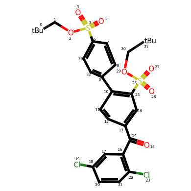 CC(C)(C)COS(=O)(=O)c1ccc(-c2ccc(C(=O)c3cc(Cl)ccc3Cl)cc2S(=O)(=O)OCC(C)(C)C)cc1